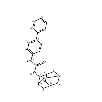 O=C(Nc1ccc(-c2ccccc2)cc1)OC1C2CC3CC(C2)CC1C3